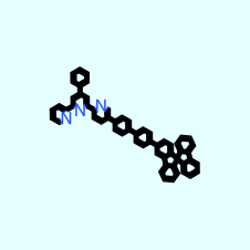 c1ccc(-c2cc(-c3ccccn3)nc(-c3ccc(-c4ccc(-c5ccc(-c6ccc7c(c6)-c6ccccc6C76c7ccccc7-c7ccccc76)cc5)cc4)cn3)c2)cc1